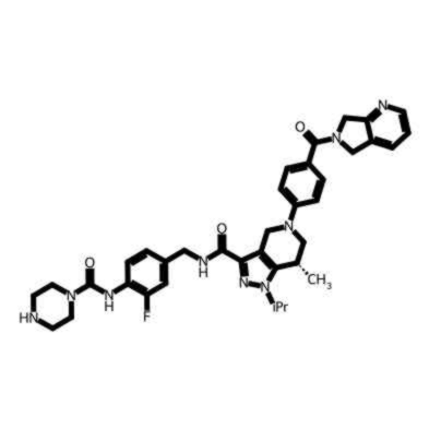 CC(C)n1nc(C(=O)NCc2ccc(NC(=O)N3CCNCC3)c(F)c2)c2c1[C@@H](C)CN(c1ccc(C(=O)N3Cc4cccnc4C3)cc1)C2